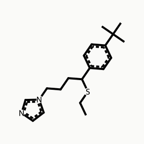 CCSC(CCCn1ccnc1)c1ccc(C(C)(C)C)cc1